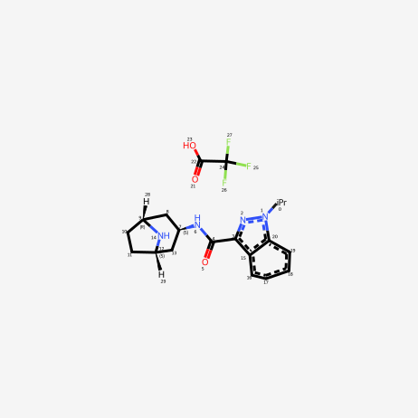 CC(C)n1nc(C(=O)N[C@@H]2C[C@H]3CC[C@@H](C2)N3)c2ccccc21.O=C(O)C(F)(F)F